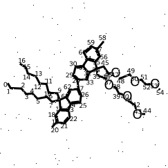 CCCCCCCCC1(CCCCCCCC)c2cc(C)ccc2-c2ccc(-c3ccc4c(c3)C(CCOCCOCCOC)(CCOCCOCCOC)c3cc(C)ccc3-4)cc21